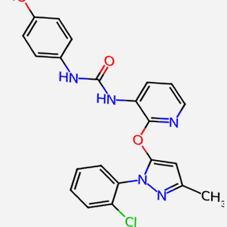 Cc1cc(Oc2ncccc2NC(=O)Nc2ccc(O)cc2)n(-c2ccccc2Cl)n1